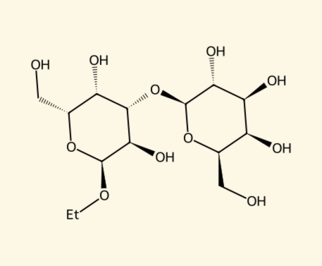 CCO[C@H]1O[C@H](CO)[C@H](O)[C@H](O[C@@H]2O[C@H](CO)[C@H](O)[C@H](O)[C@H]2O)[C@H]1O